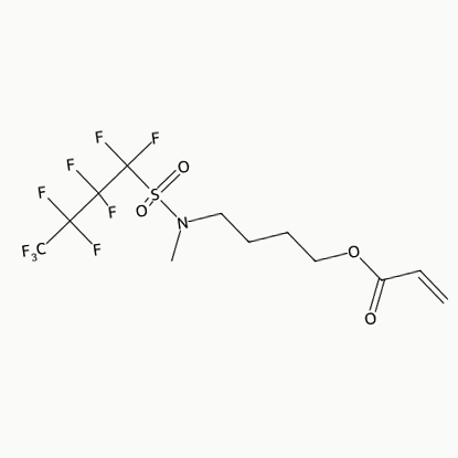 C=CC(=O)OCCCCN(C)S(=O)(=O)C(F)(F)C(F)(F)C(F)(F)C(F)(F)F